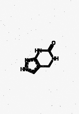 O=C1NCc2c[nH]nc2N1